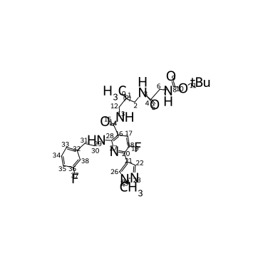 C[C@@H](CNC(=O)CNC(=O)OC(C)(C)C)CNC(=O)c1cc(F)c(-c2cnn(C)c2)nc1NCCc1cccc(F)c1